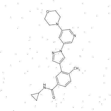 Cc1ccc(C(=O)NC2CC2)cc1-c1cnn(-c2cncc(N3CCOCC3)c2)c1